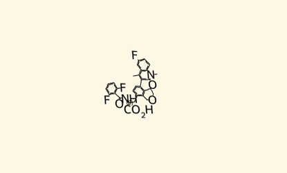 Cc1c(-c2ccc(C[C@H](NC(=O)c3c(F)cccc3F)C(=O)O)c3c2CCOC3)c(=O)n(C)c2ccc(F)cc12